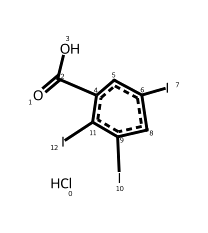 Cl.O=C(O)c1cc(I)cc(I)c1I